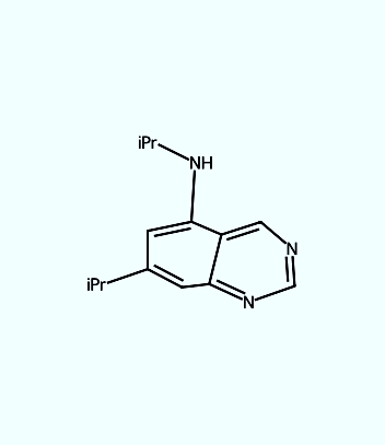 CC(C)Nc1cc(C(C)C)cc2ncncc12